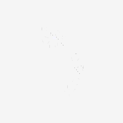 CCc1ccccc1N1/C(=N/C(=O)NCCCc2ccc(-c3ncn(-c4ccc(OC(F)(F)F)cc4)n3)cc2)SCCC1C